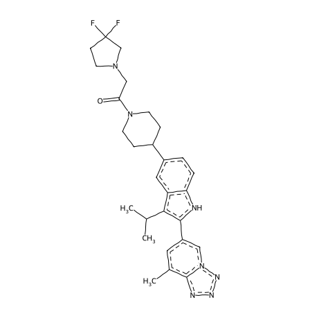 Cc1cc(-c2[nH]c3ccc(C4CCN(C(=O)CN5CCC(F)(F)C5)CC4)cc3c2C(C)C)cn2nnnc12